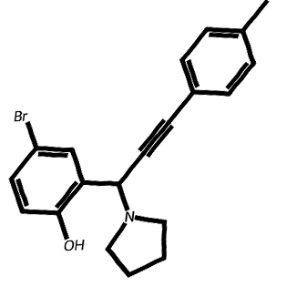 Cc1ccc(C#CC(c2cc(Br)ccc2O)N2CCCC2)cc1